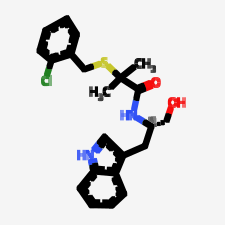 CC(C)(SCc1ccccc1Cl)C(=O)N[C@H](CO)Cc1c[nH]c2ccccc12